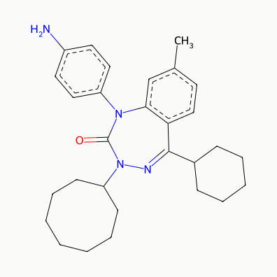 Cc1ccc2c(c1)N(c1ccc(N)cc1)C(=O)N(C1CCCCCCC1)N=C2C1CCCCC1